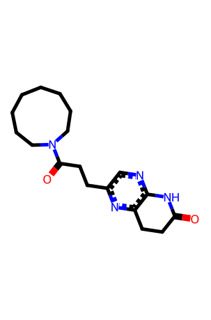 O=C1CCc2nc(CCC(=O)N3CCCCCCCC3)cnc2N1